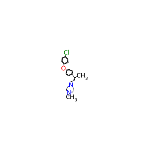 CC(=CCN1CCN(C)CC1)c1ccc(Oc2ccc(Cl)cc2)cc1